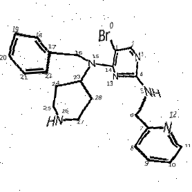 Brc1cnc(NCc2ccccn2)nc1N(Cc1ccccc1)C1CCNCC1